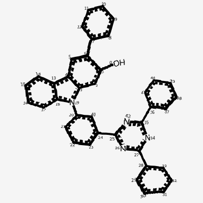 Oc1cc2c(cc1-c1ccccc1)c1ccccc1n2-c1cccc(-c2nc(-c3ccccc3)nc(-c3ccccc3)n2)c1